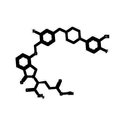 CC(C)(C)OC(=O)CC[C@@H](C(N)=O)N1Cc2c(OCc3ccc(CN4CCN(c5ccc(F)c(C#N)c5)CC4)cc3F)cccc2C1=O